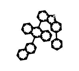 c1ccc(-c2ccc3sc4cccc(-c5c6ccccc6c(-c6ccc7ccccc7c6)c6ccccc56)c4c3c2)cc1